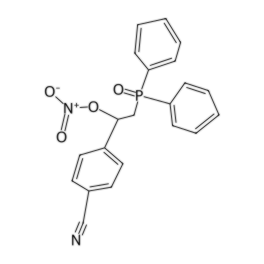 N#Cc1ccc(C(CP(=O)(c2ccccc2)c2ccccc2)O[N+](=O)[O-])cc1